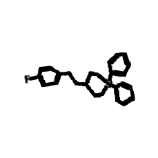 Fc1ccc(CCC2CC[Si](c3ccccc3)(c3ccccc3)CC2)cc1